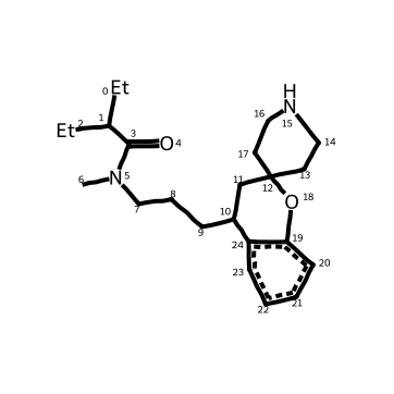 CCC(CC)C(=O)N(C)CCCC1CC2(CCNCC2)Oc2ccccc21